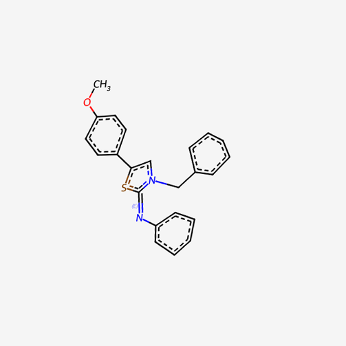 COc1ccc(-c2cn(Cc3ccccc3)/c(=N\c3ccccc3)s2)cc1